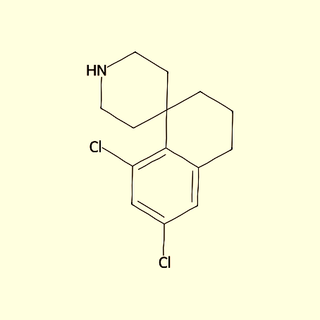 Clc1cc(Cl)c2c(c1)CCCC21CCNCC1